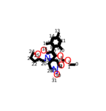 CCOC(=O)OC1=C(c2c(C)cc(C)cc2C)C(=O)N(CC2CCCO2)C12CCN(OC)CC2